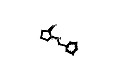 O=C1CCCN1NCc1ccccc1